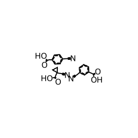 N#CC1(C(=O)O)CC1.N#Cc1ccc(C(=O)O)cc1.N#Cc1cccc(C(=O)O)c1